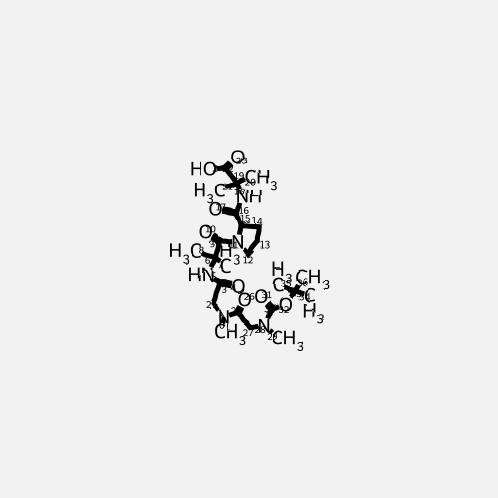 CN(CC(=O)NC(C)(C)C(=O)N1CCCC1C(=O)NC(C)(C)C(=O)O)C(=O)CN(C)C(=O)OC(C)(C)C